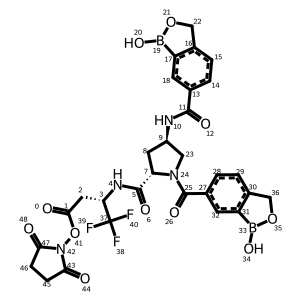 O=C(C[C@H](NC(=O)[C@@H]1C[C@@H](NC(=O)c2ccc3c(c2)B(O)OC3)CN1C(=O)c1ccc2c(c1)B(O)OC2)C(F)(F)F)ON1C(=O)CCC1=O